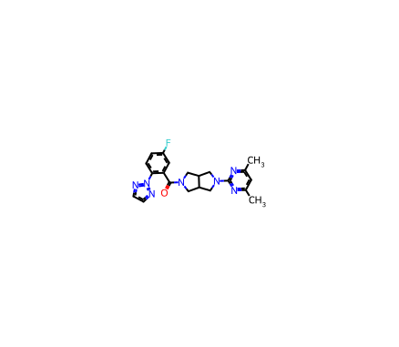 Cc1cc(C)nc(N2CC3CN(C(=O)c4cc(F)ccc4-n4nccn4)CC3C2)n1